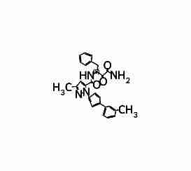 Cc1cccc(-c2ccc(-n3nc(C)cc3C(=O)N[C@@H](Cc3ccccc3)C(=O)C(N)=O)cc2)c1